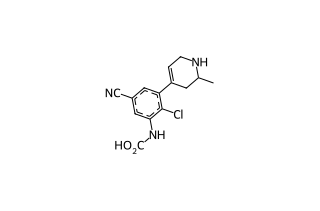 CC1CC(c2cc(C#N)cc(NC(=O)O)c2Cl)=CCN1